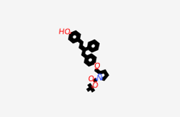 CC(C)(C)OC(=O)N1CCCC1COc1ccc(CC(=CCc2ccc(O)cc2)c2ccccc2)cc1